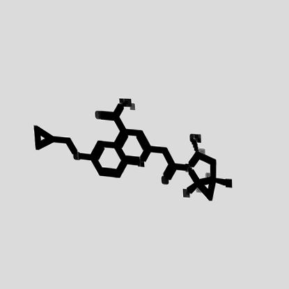 N#C[C@@H]1C[C@@H]2C[C@@H]2N1C(=O)Cc1cc(C(N)=O)c2cc(OCC3CC3)ccc2n1